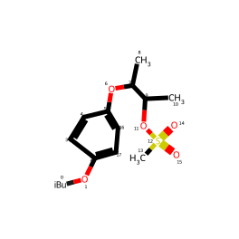 CCC(C)Oc1ccc(OC(C)C(C)OS(C)(=O)=O)cc1